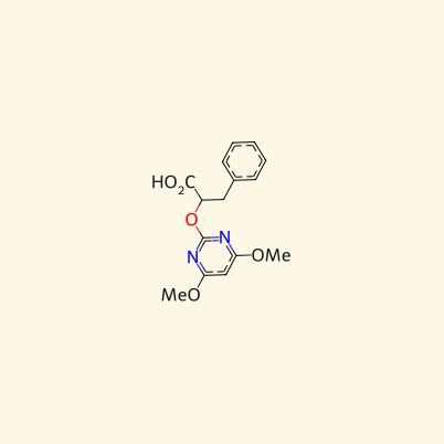 COc1cc(OC)nc(OC(Cc2ccccc2)C(=O)O)n1